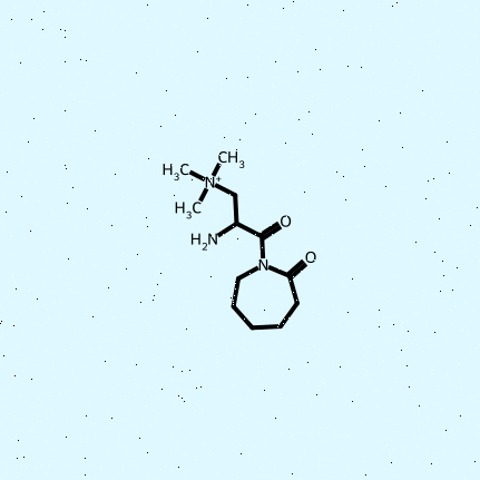 C[N+](C)(C)CC(N)C(=O)N1CCCCCC1=O